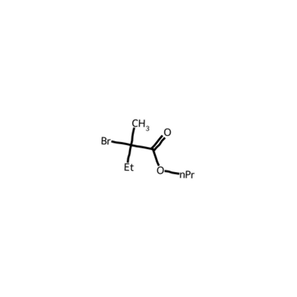 CCCOC(=O)C(C)(Br)CC